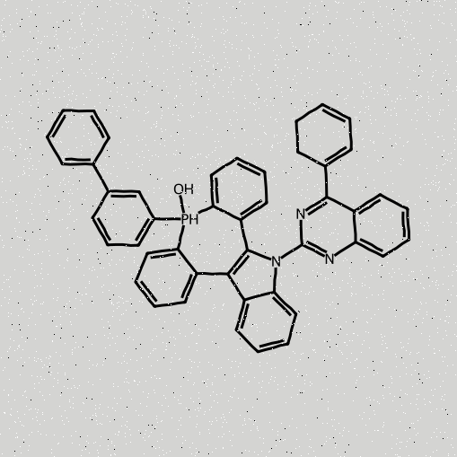 O[PH]1(c2cccc(-c3ccccc3)c2)c2ccccc2-c2c(n(-c3nc(C4=CC=CCC4)c4ccccc4n3)c3ccccc23)-c2ccccc21